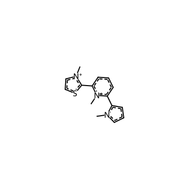 Cn1cccc1-c1cccc(-c2scc[n+]2C)[n+]1C